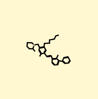 CCCCCCc1cc(/C=C/c2cccc(-c3ccccc3)c2C)c(C)cc1CN1CCCCC1C